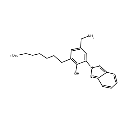 CCCCCCCCCCCCCCCCc1cc(CN)cc(-n2nc3ccccc3n2)c1O